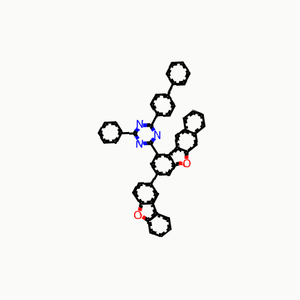 c1ccc(-c2ccc(-c3nc(-c4ccccc4)nc(-c4cc(-c5ccc6oc7ccccc7c6c5)cc5oc6cc7ccccc7cc6c45)n3)cc2)cc1